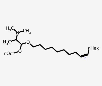 CCCCCC/C=C\CCCCCCCCOC(OCCCCCCCC)C(C)N(C)C